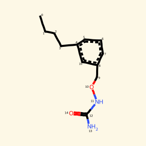 CCCCc1cccc(CONC(N)=O)c1